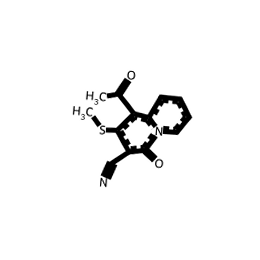 CSc1c(C#N)c(=O)n2ccccc2c1C(C)=O